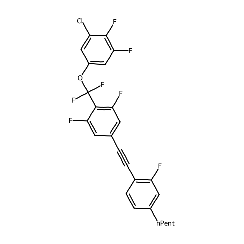 CCCCCc1ccc(C#Cc2cc(F)c(C(F)(F)Oc3cc(F)c(F)c(Cl)c3)c(F)c2)c(F)c1